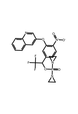 O=[N+]([O-])c1ccc(C(OP(=O)(N2CC2)N2CC2)C(F)(F)F)cc1Oc1cnc2ccccc2c1